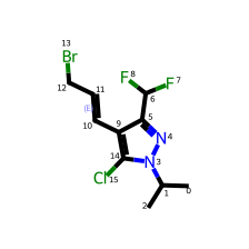 CC(C)n1nc(C(F)F)c(/C=C/CBr)c1Cl